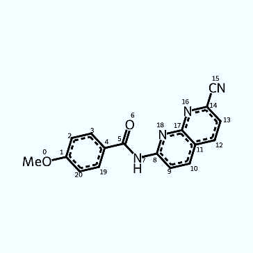 COc1ccc(C(=O)Nc2ccc3ccc(C#N)nc3n2)cc1